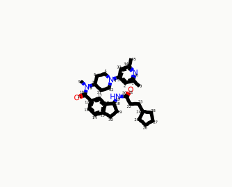 Cc1cc(N2CCC(N(C)C(=O)c3ccc4c(c3)C(NC(=O)CCC3CCCC3)CC4)CC2)cc(C)n1